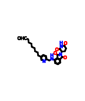 O=CCCCCCCCCc1ccc(CNc2cccc3c2C(=O)N(C2CCC(=O)NC2=O)C3=O)nc1